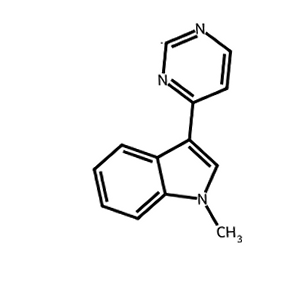 Cn1cc(-c2ccn[c]n2)c2ccccc21